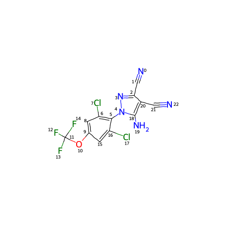 N#Cc1nn(-c2c(Cl)cc(OC(F)(F)F)cc2Cl)c(N)c1C#N